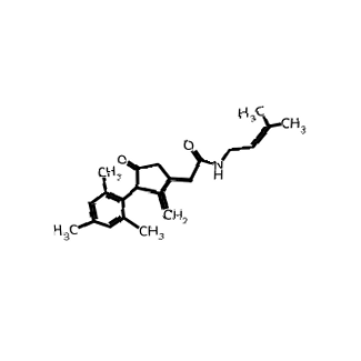 C=C1C(CC(=O)NCC=C(C)C)CC(=O)C1c1c(C)cc(C)cc1C